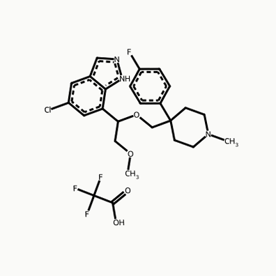 COCC(OCC1(c2ccc(F)cc2)CCN(C)CC1)c1cc(Cl)cc2cn[nH]c12.O=C(O)C(F)(F)F